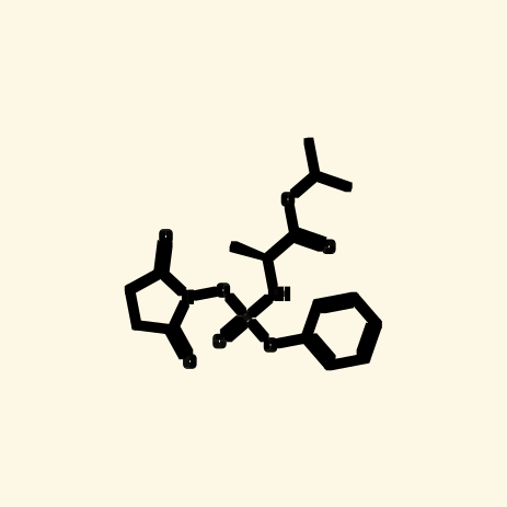 CC(C)OC(=O)[C@H](C)NP(=O)(Oc1ccccc1)ON1C(=O)CCC1=O